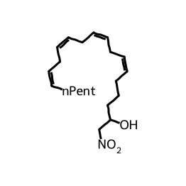 CCCCC/C=C\C/C=C\C/C=C\C/C=C\CCCC(O)C[N+](=O)[O-]